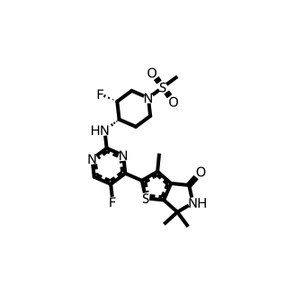 Cc1c(-c2nc(N[C@H]3CCN(S(C)(=O)=O)C[C@H]3F)ncc2F)sc2c1C(=O)NC2(C)C